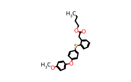 CCCCOC(=O)Cc1ccccc1Sc1ccc(Oc2ccc(OC)cc2)cc1